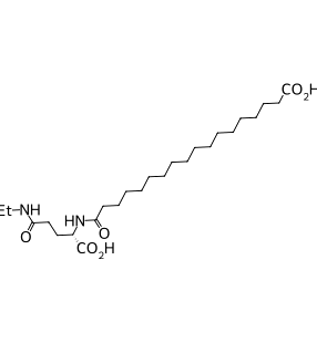 CCNC(=O)CC[C@H](NC(=O)CCCCCCCCCCCCCCCCC(=O)O)C(=O)O